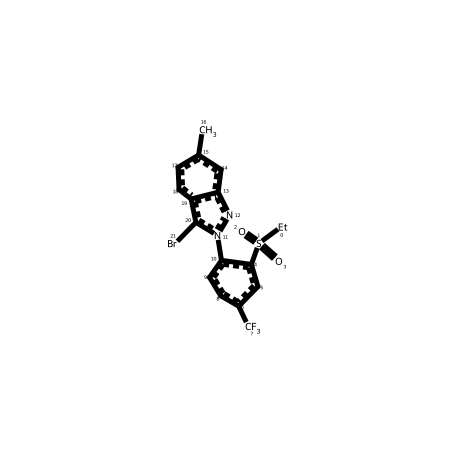 CCS(=O)(=O)c1cc(C(F)(F)F)ccc1-n1nc2cc(C)ccc2c1Br